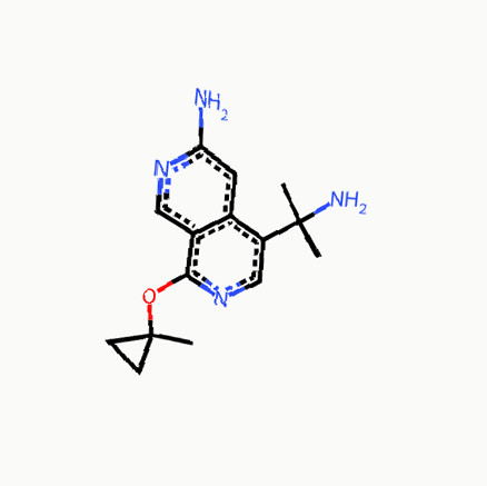 CC1(Oc2ncc(C(C)(C)N)c3cc(N)ncc23)CC1